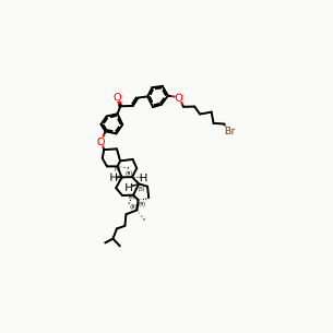 CC(C)CCC[C@@H](C)[C@H]1CC[C@H]2[C@@H]3CCC4CC(Oc5ccc(C(=O)C=Cc6ccc(OCCCCCCBr)cc6)cc5)CC[C@]4(C)[C@H]3CC[C@]12C